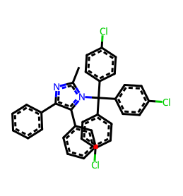 Cc1nc(-c2ccccc2)c(-c2ccccc2)n1C(c1ccc(Cl)cc1)(c1ccc(Cl)cc1)c1ccc(Cl)cc1